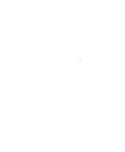 O=C(c1ccc(Cl)cc1)c1ccccc1Sc1ccccc1